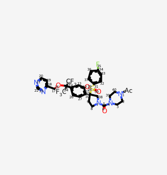 CC(=O)N1CCN(C(=O)N2CC[C@](c3ccc(C(OCc4ccncn4)(C(F)(F)F)C(F)(F)F)cc3)(S(=O)(=O)c3ccc(F)cc3)C2)CC1